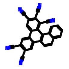 N#Cc1cc2c(cc1C#N)c1ccc3ccccc3c1c1c(C#N)c(C#N)c(C#N)cc21